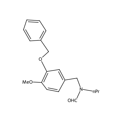 CCCN(C=O)Cc1ccc(OC)c(OCc2ccccc2)c1